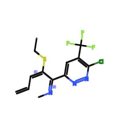 C=C/C=C(SCC)\C(=N/C)c1cc(C(F)(F)F)c(Cl)nn1